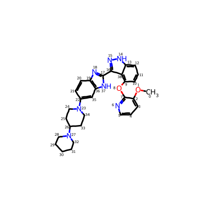 COc1cccnc1Oc1cccc2[nH]nc(-c3nc4ccc(N5CCC(N6CCCCC6)CC5)cc4[nH]3)c12